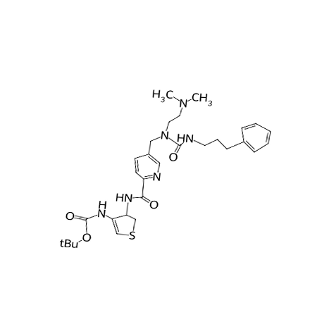 CN(C)CCN(Cc1ccc(C(=O)NC2CSC=C2NC(=O)OC(C)(C)C)nc1)C(=O)NCCCc1ccccc1